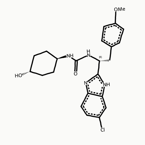 COc1ccc(C[C@@H](NC(=O)N[C@H]2CC[C@H](O)CC2)c2nc3ccc(Cl)cc3[nH]2)cc1